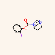 O=C(Oc1ccccc1I)N1CCN2CCC1CC2